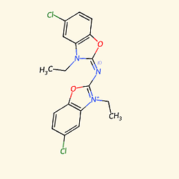 CCn1/c(=N\c2oc3ccc(Cl)cc3[n+]2CC)oc2ccc(Cl)cc21